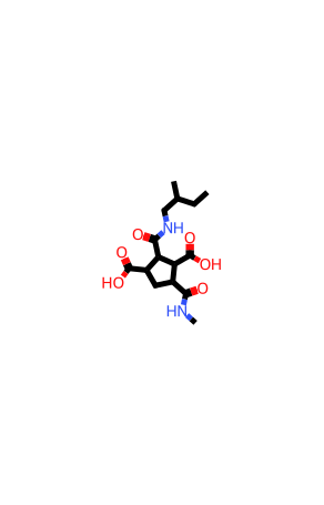 CCC(C)CNC(=O)C1C(C(=O)O)CC(C(=O)NC)C1C(=O)O